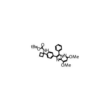 COc1cc(OC)c2nc(-c3ccc(C4(NC(=O)OC(C)(C)C)CCC4)cc3)c(-c3ccccc3)n2n1